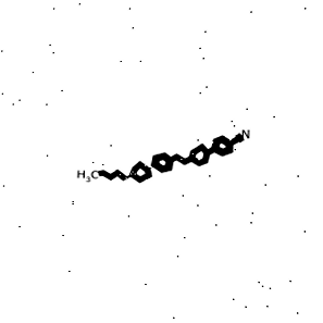 CCCCC[C@H]1CC[C@H](c2ccc(CCC3CCC(c4ccc(C#N)cc4)CC3)cc2)CC1